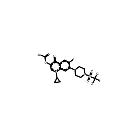 O=C(O)Oc1cn(C2CC2)c2cc(N3CCN(S(=O)(=O)C(F)(Cl)Cl)CC3)c(F)cc2c1=O